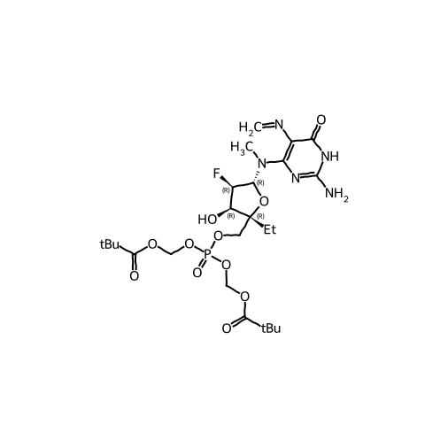 C=Nc1c(N(C)[C@@H]2O[C@](CC)(COP(=O)(OCOC(=O)C(C)(C)C)OCOC(=O)C(C)(C)C)[C@@H](O)[C@H]2F)nc(N)[nH]c1=O